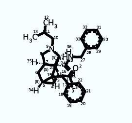 CC(=O)N1C[C@@H]2C[C@H]3CN(CC(C)C)[C@@H]([C@@H]2Cc2ccccc2)[C@]31C(=O)NCc1ccccc1